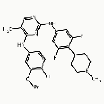 Cc1cnc(Nc2cc(F)c(C3CCN(C)CC3)c(F)c2)nc1Nc1ccc(Cl)c(OC(C)C)c1